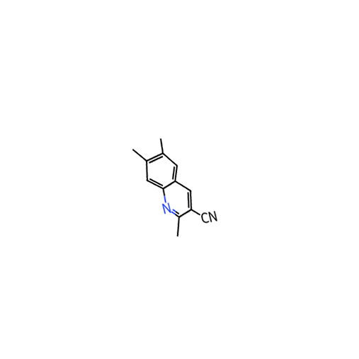 Cc1cc2cc(C#N)c(C)nc2cc1C